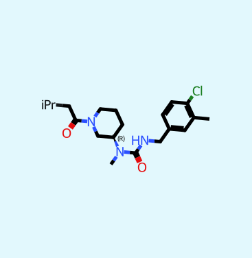 Cc1cc(CNC(=O)N(C)[C@@H]2CCCN(C(=O)CC(C)C)C2)ccc1Cl